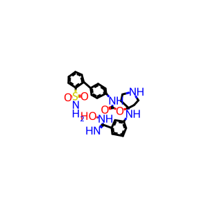 N=C(NO)c1cccc(NC2(OC(=O)Nc3ccc(-c4ccccc4S(N)(=O)=O)cc3)CCNCC2)c1